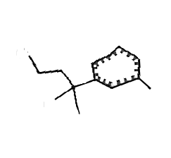 CC(O)(CCN)c1cccc(Cl)c1